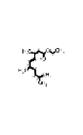 CCOC(=O)C=C(C)C=CC(C)CCC(C)C